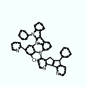 Cc1cc(-c2ccccn2)cc2c1B(c1ccnc3c1CC1=C3c3ncccc3C1c1ccccc1)c1cccc3c4c5ccccc5n(-c5ccccc5)c4n-2c13